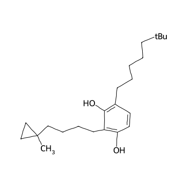 CC(C)(C)CCCCCc1ccc(O)c(CCCCC2(C)CC2)c1O